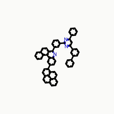 c1ccc(-c2cccc(-c3cc(-c4ccccc4)nc(-c4cccc(-c5nc6ccc(-c7ccc8ccc9cccc%10ccc7c8c9%10)cc6c6c5ccc5ccccc56)c4)n3)c2)cc1